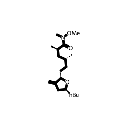 C=C1C[C@H](CCCC)O[C@H]1CC[C@@H](C)C[C@@H](C)C(=O)N(C)OC